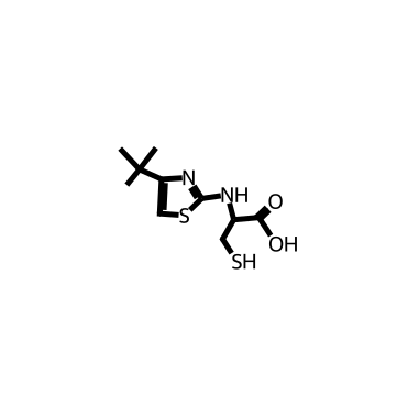 CC(C)(C)c1csc(NC(CS)C(=O)O)n1